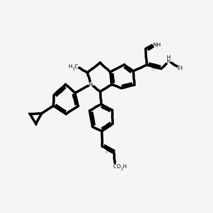 CCN/C=C(\C=N)c1ccc2c(c1)CC(C)N(c1ccc(C3CC3)cc1)C2c1ccc(/C=C/C(=O)O)cc1